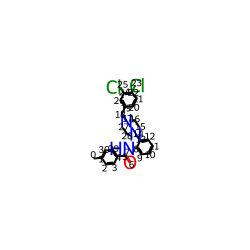 Cc1ccc(C(=O)Nc2ccccc2N2CCN(Cc3ccc(Cl)c(Cl)c3)CC2)cc1